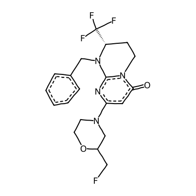 O=c1cc(N2CCOC(CF)C2)nc2n1CC[C@@H](C(F)(F)F)N2Cc1ccccc1